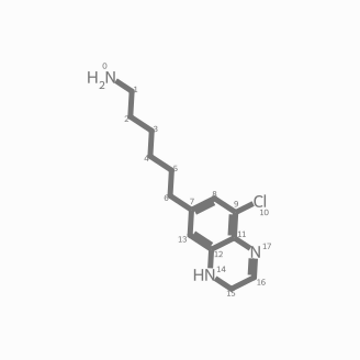 NCCCCCCc1cc(Cl)c2c(c1)NCC=N2